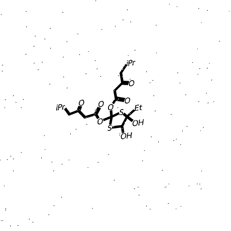 CCC1(O)SC(OC(=O)CC(=O)CC(C)C)(OC(=O)CC(=O)CC(C)C)SC1O